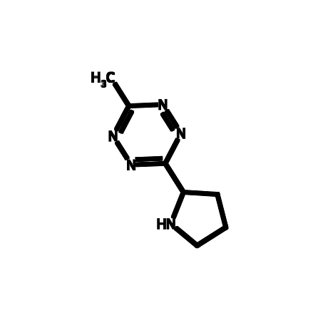 Cc1nnc(C2CCCN2)nn1